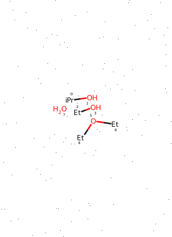 CC(C)O.CCO.CCOCC.O